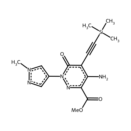 COC(=O)c1nn(-c2cnn(C)c2)c(=O)c(C#C[Si](C)(C)C)c1N